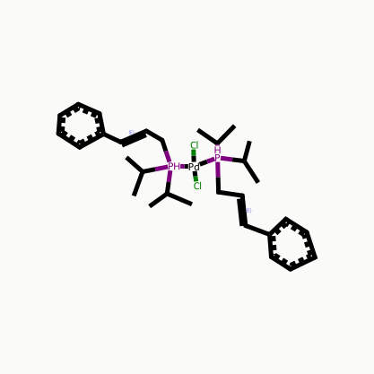 CC(C)[PH](C/C=C/c1ccccc1)(C(C)C)[Pd]([Cl])([Cl])[PH](C/C=C/c1ccccc1)(C(C)C)C(C)C